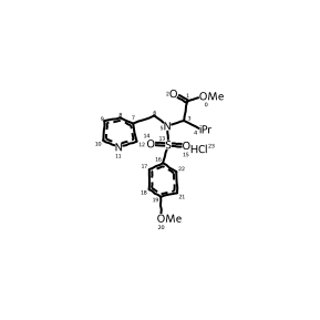 COC(=O)C(C(C)C)N(Cc1cccnc1)S(=O)(=O)c1ccc(OC)cc1.Cl